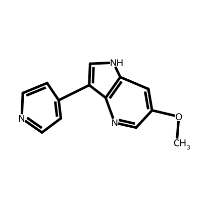 COc1cnc2c(-c3ccncc3)c[nH]c2c1